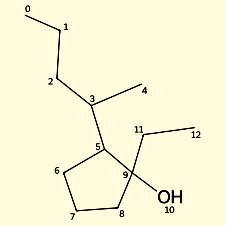 CCCC(C)C1CCCC1(O)CC